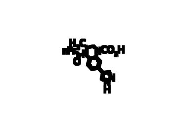 CCCC(=O)N1c2ccc(-c3cn[nH]c3)cc2N(C(=O)O)C[C@@H]1C